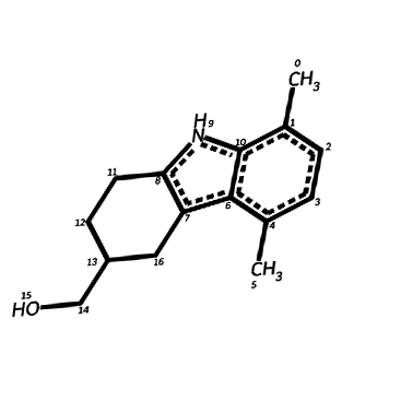 Cc1ccc(C)c2c3c([nH]c12)CCC(CO)C3